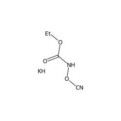 CCOC(=O)NOC#N.[KH]